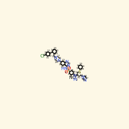 O=[N+]([O-])c1cc(S(=O)(=O)Nc2ncnc3cc(N4CCN(Cc5ccccc5-c5ccc(Cl)cc5)CC4)ccc23)ccc1N[C@H](CCn1ccnc1)CSc1ccccc1